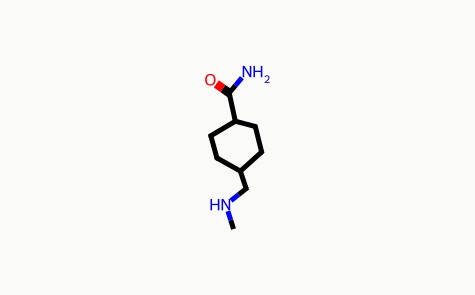 CNCC1CCC(C(N)=O)CC1